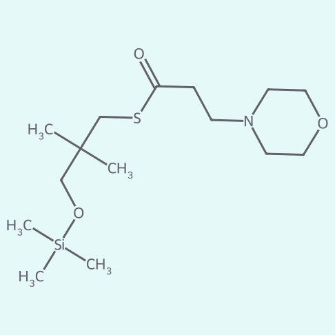 CC(C)(CO[Si](C)(C)C)CSC(=O)CCN1CCOCC1